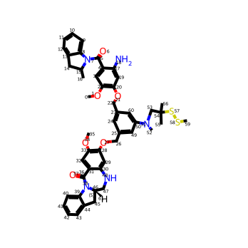 COc1cc(C(=O)N2c3ccccc3CC2C)c(N)cc1OCc1cc(COc2cc3c(cc2OC)C(=O)N2c4ccccc4C[C@H]2CN3)cc(N(C)CC(C)(C)SSC)c1